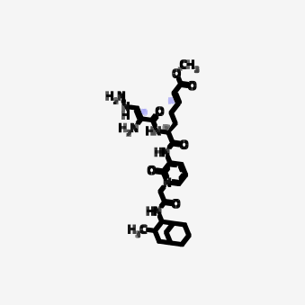 COC(=O)/C=C/CC[C@H](NC(=O)/C(N)=C/NN)C(=O)Nc1cccn(CC(=O)NC2C(C)CC3CCCC2C3)c1=O